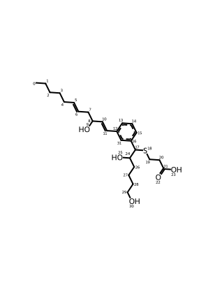 CCCCC/C=C/CC(O)/C=C/c1cccc(C(SCCC(=O)O)C(O)CCCCO)c1